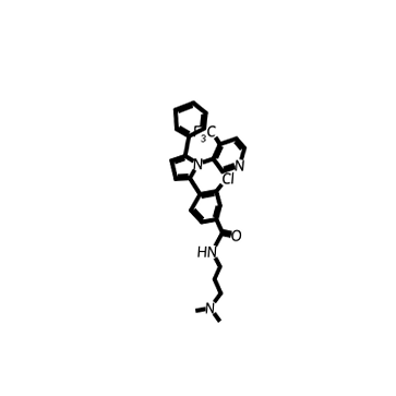 CN(C)CCCNC(=O)c1ccc(-c2ccc(-c3ccccc3)n2-c2cnccc2C(F)(F)F)c(Cl)c1